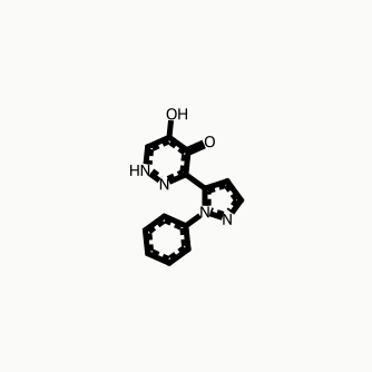 O=c1c(O)c[nH]nc1-c1ccnn1-c1ccccc1